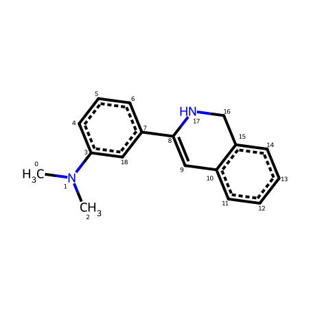 CN(C)c1[c]ccc(C2=Cc3ccccc3CN2)c1